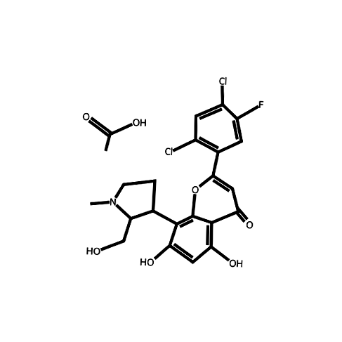 CC(=O)O.CN1CCC(c2c(O)cc(O)c3c(=O)cc(-c4cc(F)c(Cl)cc4Cl)oc23)C1CO